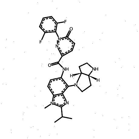 CC(C)c1nc2c(N3CC[C@H]4NCC[C@H]43)c(NC(=O)c3ccc(=O)n(-c4c(F)cccc4F)n3)ccc2n1C